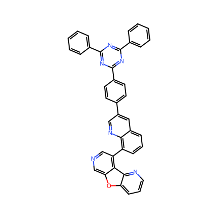 c1ccc(-c2nc(-c3ccccc3)nc(-c3ccc(-c4cnc5c(-c6cncc7oc8cccnc8c67)cccc5c4)cc3)n2)cc1